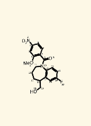 COc1cc([N+](=O)[O-])ccc1C(=O)N1CCCC(CO)c2cc(F)ccc21